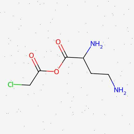 NCCC(N)C(=O)OC(=O)CCl